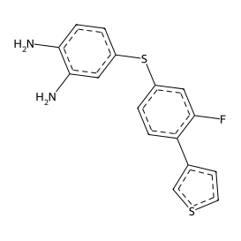 Nc1ccc(Sc2ccc(-c3ccsc3)c(F)c2)cc1N